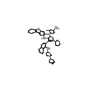 Cc1cc(C(C)(C)C)ccc1N1c2cc3sc4ccccc4c3cc2Bc2c(-c3ccc4ccccc4c3Nc3ccc(-c4ccccc4)cc3)cc(-c3ccccc3)cc21